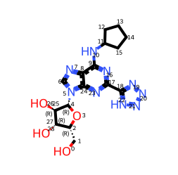 OC[C@H]1O[C@@H](n2cnc3c(NC4CCCC4)nc(-c4nnn[nH]4)nc32)[C@H](O)[C@H]1O